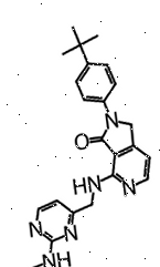 CNc1nccc(CNc2nccc3c2C(=O)N(c2ccc(C(C)(C)C)cc2)C3)n1